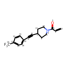 C=CC(=O)N1CCC(C#Cc2ccc(C(F)(F)F)cc2)CC1